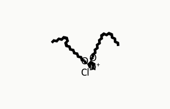 CCCCC/C=C\C/C=C\CCCCCCCCOC[C@H]1C[N+](C)(C)C[C@@H]1COCCCCCCCC/C=C\C/C=C\CCCCC.[Cl-]